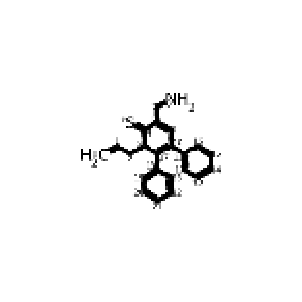 C=CCC1C(=S)C(CN)=CC(c2ccccc2)=C1c1ccccc1